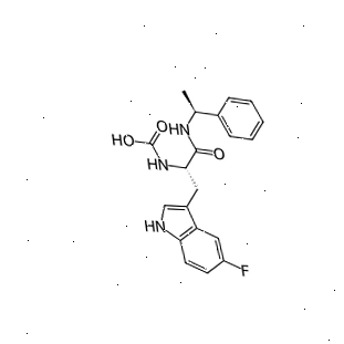 C[C@H](NC(=O)[C@H](Cc1c[nH]c2ccc(F)cc12)NC(=O)O)c1ccccc1